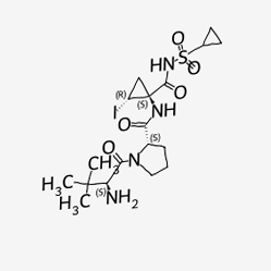 CC(C)(C)[C@H](N)C(=O)N1CCC[C@H]1C(=O)N[C@]1(C(=O)NS(=O)(=O)C2CC2)C[C@H]1I